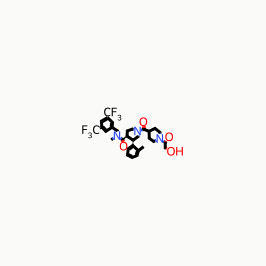 Cc1ccccc1[C@H]1CN(C(=O)C2CCN(C(=O)CO)CC2)CC[C@@H]1C(=O)N(C)Cc1cc(C(F)(F)F)cc(C(F)(F)F)c1